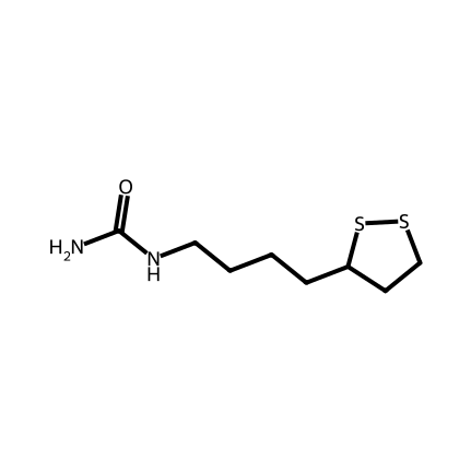 NC(=O)NCCCCC1CCSS1